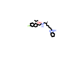 CC(C)[C@H]1c2ccc(F)cc2CC[C@]1(O)CCNC[C@@H](C)CCCCc1nc2ccccc2[nH]1